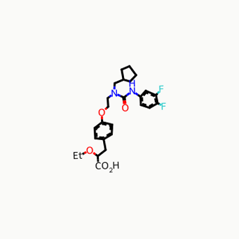 CCOC(Cc1ccc(OCCN(CC2CCCC2)C(=O)Nc2ccc(F)c(F)c2)cc1)C(=O)O